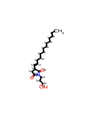 CCCCCCCCCCCCC=CC1CC(=O)N(CCCO)C1=O